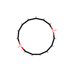 C1CCCOCCCCCCOCCC1